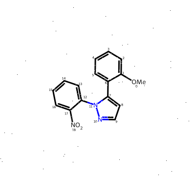 COc1ccccc1-c1ccnn1-c1ccccc1[N+](=O)[O-]